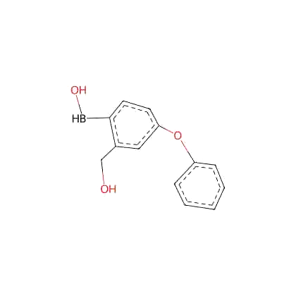 OBc1ccc(Oc2ccccc2)cc1CO